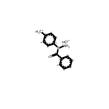 Cc1ccc(N(N)C(=O)c2ccccc2)cc1.Cl